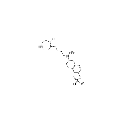 CCCN(CCCCN1CCNCCC1=O)C1CCc2cc(OS(=O)(=O)CCC)ccc2C1